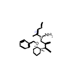 C=C/C=C(/C)N(N)CC(=C)C(=C)[C@H]1CCCC[C@@H]1OCc1ccccc1